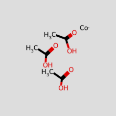 CC(=O)O.CC(=O)O.CC(=O)O.[Co]